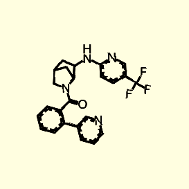 O=C(c1ccccc1-c1cccnc1)N1CC2CC(Nc3ccc(C(F)(F)F)cn3)C1C2